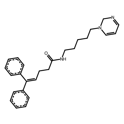 O=C(CCC=C(c1ccccc1)c1ccccc1)NCCCCCN1C=CC=NC1